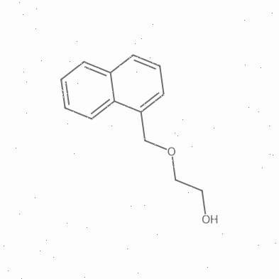 OCCOCc1cccc2ccccc12